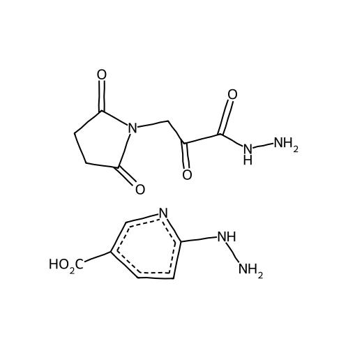 NNC(=O)C(=O)CN1C(=O)CCC1=O.NNc1ccc(C(=O)O)cn1